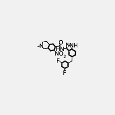 CN1CCc2cc(C(=O)Nc3n[nH]c4ccc(Cc5cc(F)cc(F)c5)cc34)c([N+](=O)[O-])cc2C1